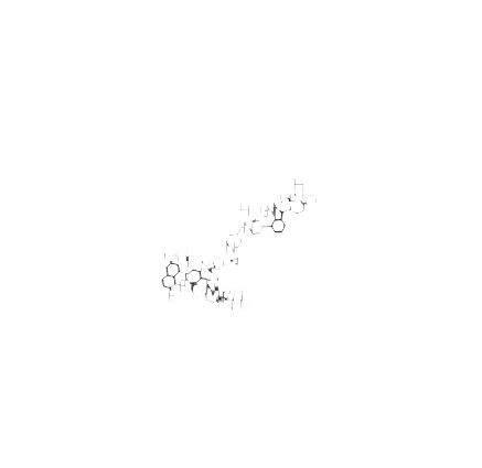 CCc1c(F)ccc2cc(O)cc(-c3nc(OC)c4c(N5CCC[C@@](C)(O)C5)nc(OCC5(CN6CCC(CN7CCC(c8cccc9c(C%10CCC(=O)NC%10=O)nn(C)c89)CC7)CC6)CC5)nc4c3F)c12